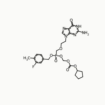 Cc1ccc(COP(=O)(COCCn2cnc3c(=O)[nH]c(N)nc32)OCOC(=O)OC2CCCC2)cc1F